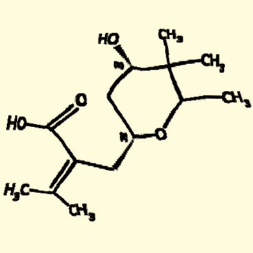 CC(C)=C(C[C@@H]1C[C@H](O)C(C)(C)C(C)O1)C(=O)O